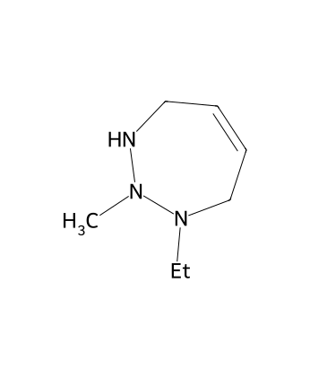 CCN1CC=CCNN1C